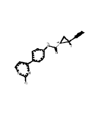 C#CC1(F)C[C@H]1C(=O)Nc1ccc(-c2ccnc(Cl)n2)cc1